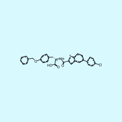 O=C(N[C@@H](Cc1ccc(OCc2ccccc2)cc1)C(=O)O)c1cc2cc(-c3ccc(Cl)cc3)ccc2s1